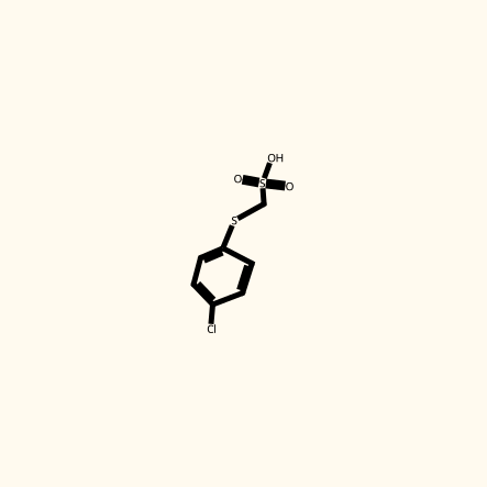 O=S(=O)(O)CSc1ccc(Cl)cc1